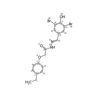 CCc1ccc(OCC(=O)NN=Cc2cc(Br)c(O)c(Br)c2)cc1